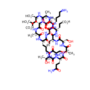 CC(C)C[C@H](NC(=O)[C@H](CO)NC(=O)[C@H](C)NC(=O)[C@H](CCC(N)=O)NC(=O)[C@@H](NC(=O)[C@@H](N)CO)[C@@H](C)O)C(=O)N[C@@H](CCC(=O)O)C(=O)N[C@@H](C)C(=O)N[C@@H](CCC(=O)O)C(=O)N[C@@H](C)C(=O)N[C@@H](CCCCN)C(=O)NCC(=O)N[C@@H](CCCCN)C(=O)N[C@@H](C)C(=O)N[C@@H](CCC(=O)O)C(=O)O